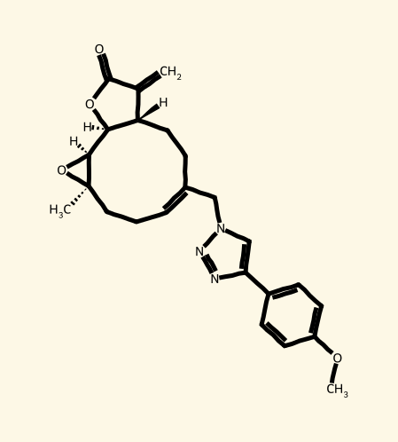 C=C1C(=O)O[C@H]2[C@H]1CC/C(Cn1cc(-c3ccc(OC)cc3)nn1)=C\CC[C@@]1(C)O[C@@H]21